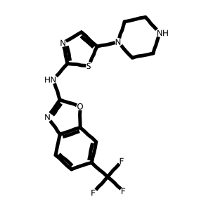 FC(F)(F)c1ccc2nc(Nc3ncc(N4CCNCC4)s3)oc2c1